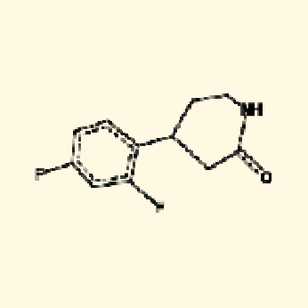 O=C1CC(c2ccc(F)cc2F)CCN1